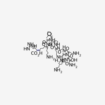 N=C(N)NCC/C=C(\CCC(=O)[C@H](CCCCN)NC(=O)[C@H](Cc1ccccc1F)NC(=O)[C@@H]1CCCN1C(=O)[C@@H](CCCN)NC(=O)CNC(=O)[C@H](CCN)NC(=O)[C@@H](NC(=O)[C@@H](N)CCCCN)[C@@H](O)CN)C(=O)O